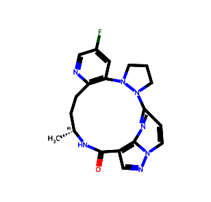 C[C@@H]1CCc2ncc(F)cc2N2CCCN2c2ccn3ncc(c3n2)C(=O)N1